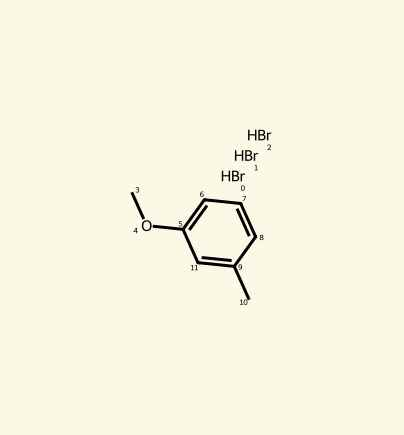 Br.Br.Br.COc1cccc(C)c1